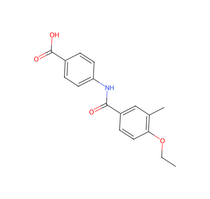 CCOc1ccc(C(=O)Nc2ccc(C(=O)O)cc2)cc1C